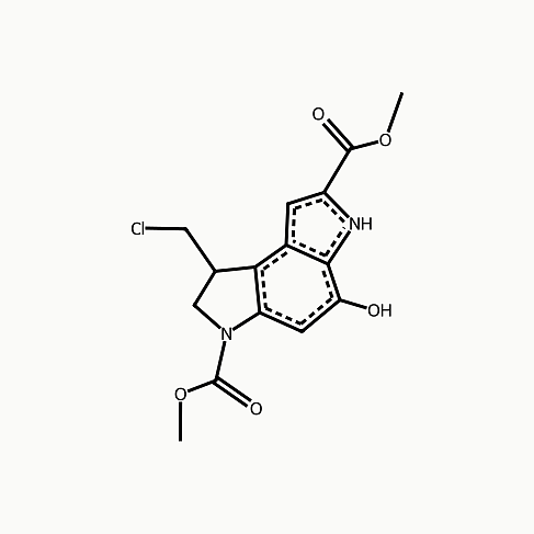 COC(=O)c1cc2c3c(cc(O)c2[nH]1)N(C(=O)OC)CC3CCl